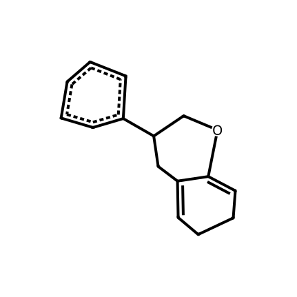 C1=C2CC(c3ccccc3)COC2=CCC1